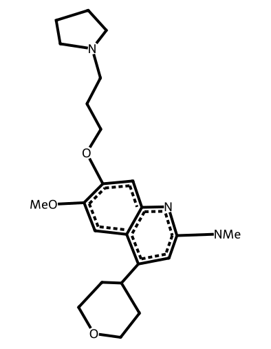 CNc1cc(C2CCOCC2)c2cc(OC)c(OCCCN3CCCC3)cc2n1